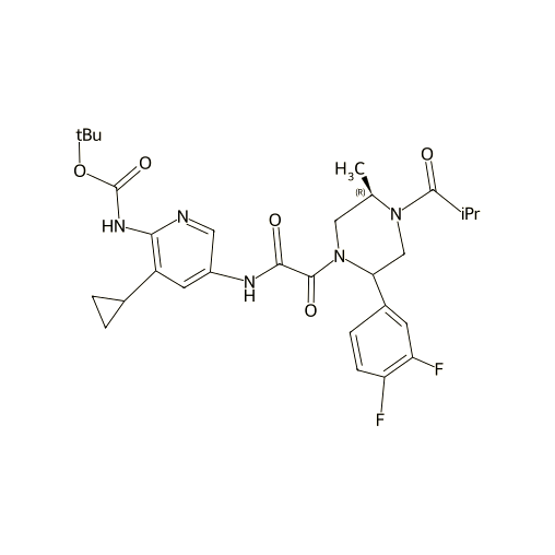 CC(C)C(=O)N1CC(c2ccc(F)c(F)c2)N(C(=O)C(=O)Nc2cnc(NC(=O)OC(C)(C)C)c(C3CC3)c2)C[C@H]1C